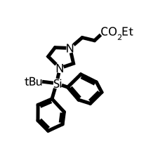 CCOC(=O)CCN1CCN([Si](c2ccccc2)(c2ccccc2)C(C)(C)C)C1